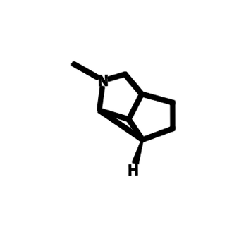 CN1CC2CC[C@H]3C2C31